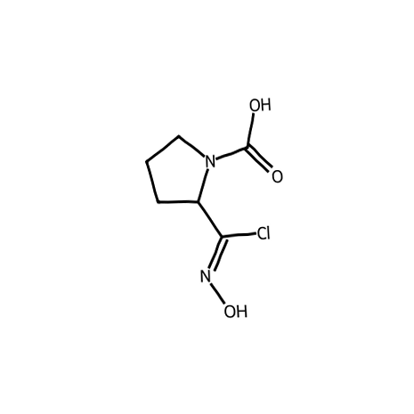 O=C(O)N1CCCC1C(Cl)=NO